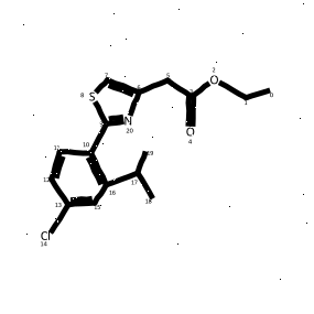 CCOC(=O)Cc1csc(-c2ccc(Cl)cc2C(C)C)n1